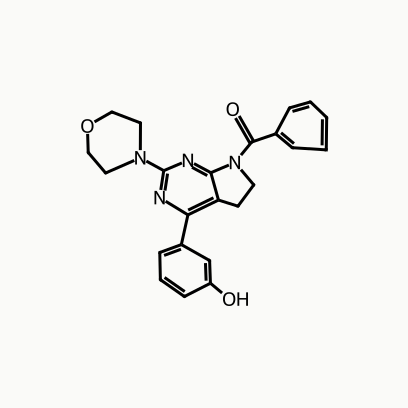 O=C(c1ccccc1)N1CCc2c(-c3cccc(O)c3)nc(N3CCOCC3)nc21